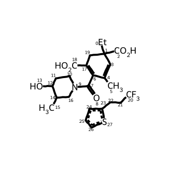 CCC1(C(=O)O)C=C(C)C(C(=O)N2CCC(O)C(C)C2)=C(C(=O)O)C1.FC(F)(F)CCc1cccs1